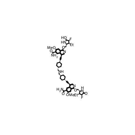 CC[C@@H]1[C@H](F)C(=O)N[C@@H]1COc1ncc(C#C[C@H]2CC[C@H](CNC[C@H]3CC[C@H](C#Cc4cnc(OC[C@H]5NC(O)[C@@H](F)[C@H]5CC)c5cc(OC)c(C(N)=O)cc45)CC3)CC2)c2cc(C(N)=O)c(OC)cc12